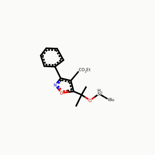 CCOC(=O)c1c(-c2ccccc2)noc1C(C)(C)O[SiH2]C(C)(C)C